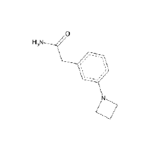 NC(=O)Cc1cccc(N2CCC2)c1